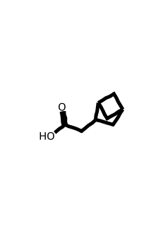 O=C(O)CC1CC2CC1C2